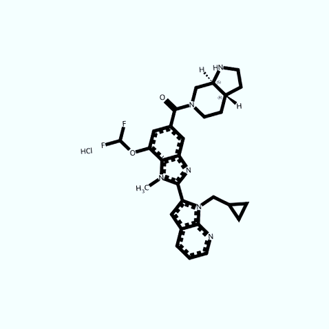 Cl.Cn1c(-c2cc3cccnc3n2CC2CC2)nc2cc(C(=O)N3CC[C@H]4CCN[C@@H]4C3)cc(OC(F)F)c21